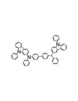 c1ccc(C(c2ccc(-c3ccc(N(c4ccccc4)c4ccc5c6ccccc6n(-c6ccccc6)c5c4)cc3)cc2)c2ccc3c(c2)c2ccccc2n3-c2ccccc2)cc1